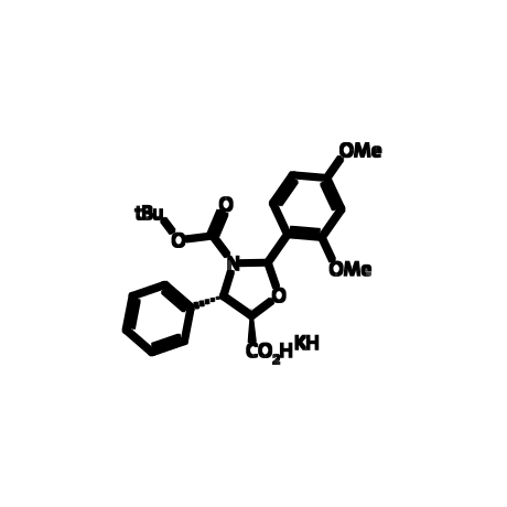 COc1ccc(C2O[C@@H](C(=O)O)[C@H](c3ccccc3)N2C(=O)OC(C)(C)C)c(OC)c1.[KH]